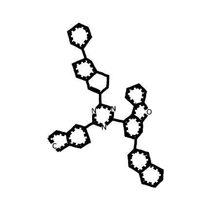 C1=C(c2nc(-c3ccc4ccccc4c3)nc(-c3cc(-c4ccc5ccccc5c4)cc4oc5ccccc5c34)n2)CCc2cc(-c3ccccc3)ccc21